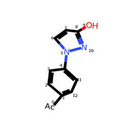 CC(=O)c1ccc(-n2ccc(O)n2)cc1